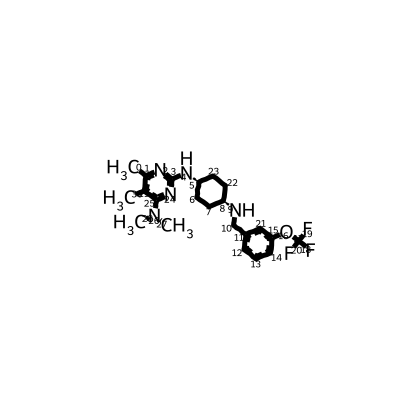 Cc1nc(N[C@H]2CC[C@@H](NCc3cccc(OC(F)(F)F)c3)CC2)nc(N(C)C)c1C